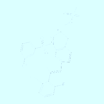 CC(=Cc1ccc2c(c1)N(S(=O)(=O)c1cccc(C(F)(F)F)c1)[C@H](C)[C@H](COS(C)(=O)=O)C2)c1c(F)cccc1Cl